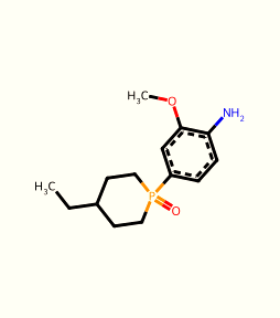 CCC1CCP(=O)(c2ccc(N)c(OC)c2)CC1